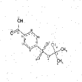 CC(C)(C)OS(=O)(=O)c1ccc(C(=O)O)cc1